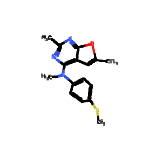 CSc1ccc(N(C)c2nc(C)nc3oc(C)cc23)cc1